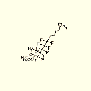 CCCCCC(F)(F)C(F)(F)C(F)(F)C(F)(F)C(F)(F)[Si](OC)(OC)OC